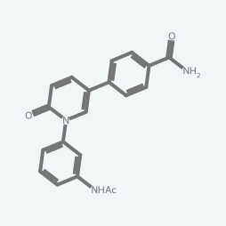 CC(=O)Nc1cccc(-n2cc(-c3ccc(C(N)=O)cc3)ccc2=O)c1